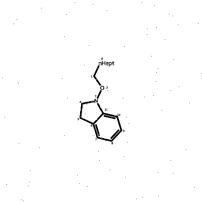 CCCCCCCCON1CCc2ccccc21